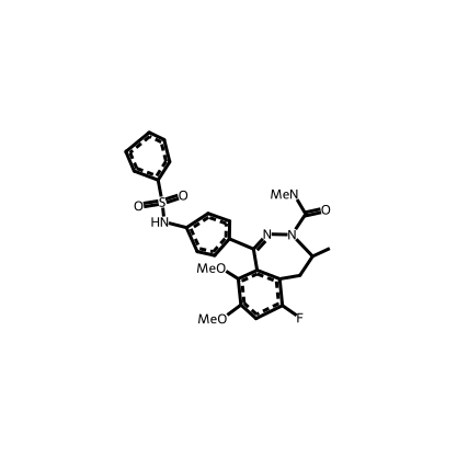 CNC(=O)N1N=C(c2ccc(NS(=O)(=O)c3ccccc3)cc2)c2c(c(F)cc(OC)c2OC)CC1C